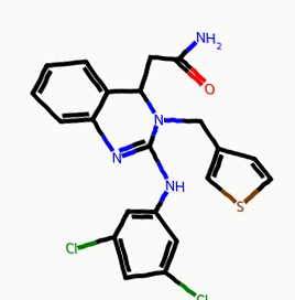 NC(=O)CC1c2ccccc2N=C(Nc2cc(Cl)cc(Cl)c2)N1Cc1ccsc1